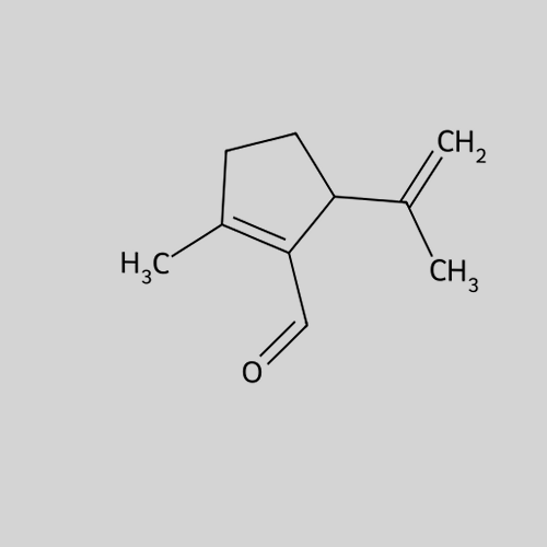 C=C(C)C1CCC(C)=C1C=O